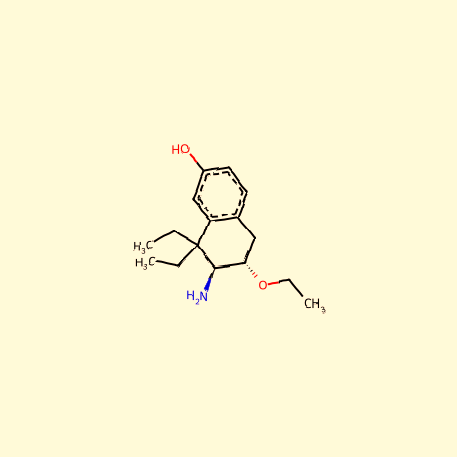 CCO[C@H]1Cc2ccc(O)cc2C(CC)(CC)[C@@H]1N